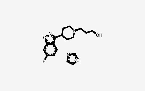 OCCCN1CCC(c2noc3cc(F)ccc23)CC1.c1cocn1